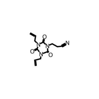 C=CCn1c(=O)n(CC=C)c(=O)n(CCC#N)c1=O